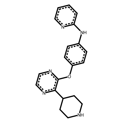 c1ccc(Nc2ccc(Oc3nccnc3C3CCNCC3)cc2)nc1